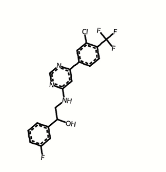 OC(CNc1cc(-c2ccc(C(F)(F)F)c(Cl)c2)ncn1)c1cccc(F)c1